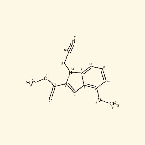 COC(=O)c1cc2c(OC)cccc2n1CC#N